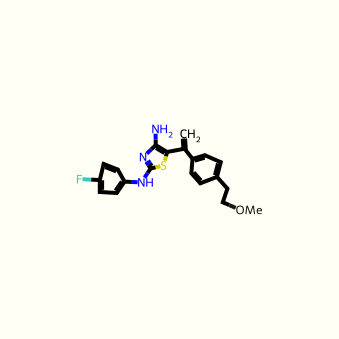 C=C(c1ccc(CCOC)cc1)c1sc(Nc2ccc(F)cc2)nc1N